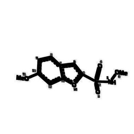 CONS(=O)(=O)c1cc2ccc(OC)cc2o1